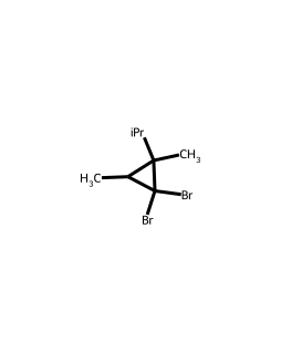 CC(C)C1(C)C(C)C1(Br)Br